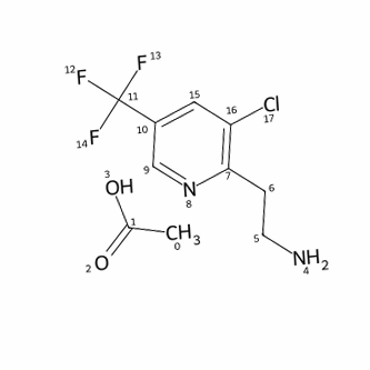 CC(=O)O.NCCc1ncc(C(F)(F)F)cc1Cl